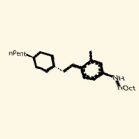 CCCCCCCCNc1ccc(CC[C@H]2CC[C@H](CCCCC)CC2)c(C)c1